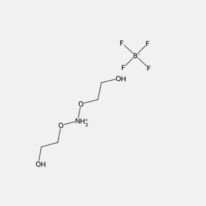 F[B-](F)(F)F.OCCO[NH2+]OCCO